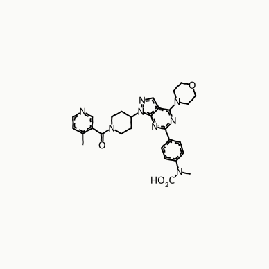 Cc1ccncc1C(=O)N1CCC(n2ncc3c(N4CCOCC4)nc(-c4ccc(N(C)C(=O)O)cc4)nc32)CC1